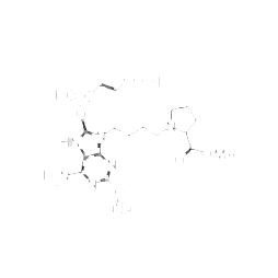 CCCCOc1nc(N)c2[nH]c(=O)n(CCCCN3CCCC3C(=O)OC)c2n1.O=C(O)C=CC(=O)O